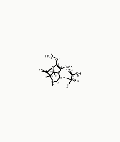 COC1=C(OC(=O)O)N2C(=O)[C@H]3NCCC1[C@H]32.O=C(O)C(F)(F)F